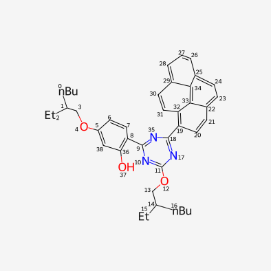 CCCCC(CC)COc1ccc(-c2nc(OCC(CC)CCCC)nc(-c3ccc4ccc5cccc6ccc3c4c56)n2)c(O)c1